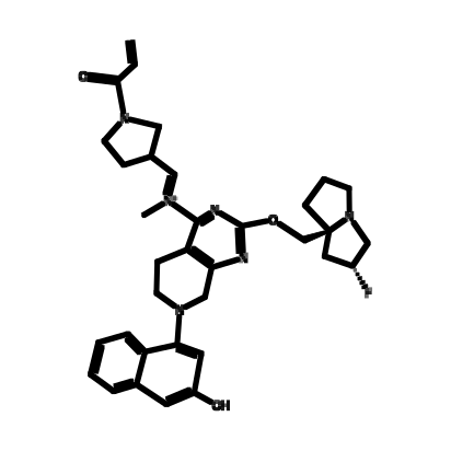 C=CC(=O)N1CCC(/C=[N+](\C)c2nc(OC[C@@]34CCCN3C[C@H](F)C4)nc3c2CCN(c2cc(O)cc4ccccc24)C3)C1